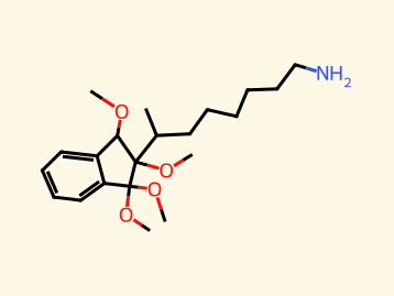 COC1c2ccccc2C(OC)(OC)C1(OC)C(C)CCCCCCN